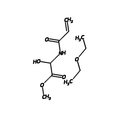 C=CC(=O)NC(O)C(=O)OC.CCOCC